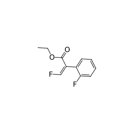 CCOC(=O)C(=CF)c1ccccc1F